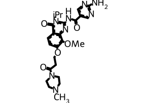 COc1c(OCCC(=O)N2CCN(C)CC2)ccc2c(=O)n(C(C)C)c(NC(=O)c3cnc(N)nc3)nc12